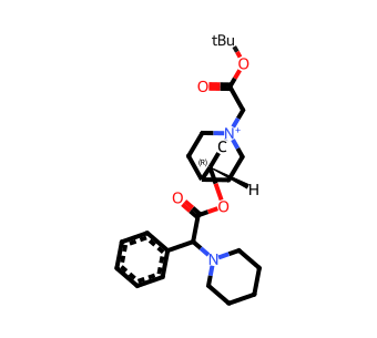 CC(C)(C)OC(=O)C[N+]12CCC(CC1)[C@@H](OC(=O)C(c1ccccc1)N1CCCCC1)C2